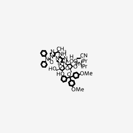 COc1ccc(C(OC[C@H]2O[C@@H]([N+]3([C@@H]4C[C@H](O)[C@@H](CO)O4)C=Nc4c(NC(C)c5cn(C(=O)N(c6ccccc6)c6ccccc6)cn5)ncnc43)[C@H](O)[C@@H]2OP(OCCC#N)N(C(C)C)C(C)C)(c2ccccc2)c2ccc(OC)cc2)cc1